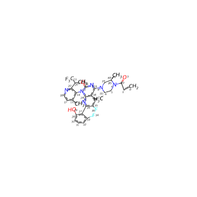 C=CC(=O)N1C[C@H](C)N(c2nc(=O)n(-c3c(C)ccnc3C(C)C(F)(F)F)c3nc(-c4c(O)cccc4F)c(F)cc23)C[C@H]1C